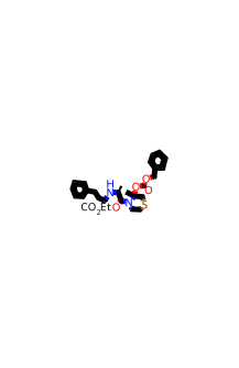 CCOC(=O)C(CCc1ccccc1)N[C@@H](C)C(=O)N1CCSCC1(C)OC(=O)OCc1ccccc1